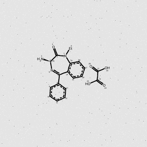 CCN1C(=O)[C@H](N)N=C(c2ccccc2)c2ccccc21.O=C(O)C(=O)O